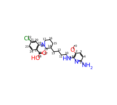 COc1ccc(N)nc1NCCCCC1CCCN(c2cc(Cl)ccc2C(=O)O)C1